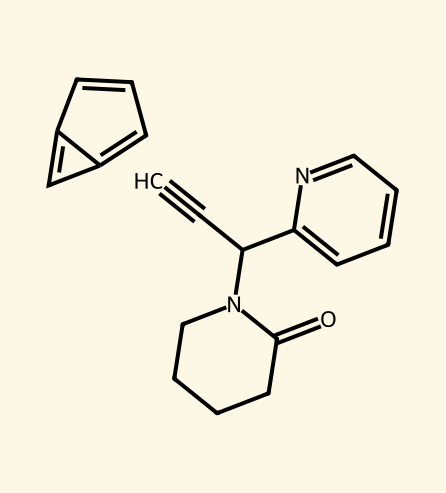 C#CC(c1ccccn1)N1CCCCC1=O.c1cc2cc-2c1